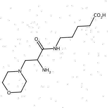 NC(CN1CCOCC1)C(=O)NCCCCC(=O)O